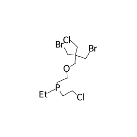 CCP(CCCl)CCOCC(CCl)(CBr)CBr